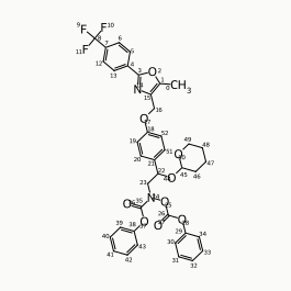 Cc1oc(-c2ccc(C(F)(F)F)cc2)nc1COc1ccc(C(CN(OC(=O)Oc2ccccc2)C(=O)Oc2ccccc2)OC2CCCCO2)cc1